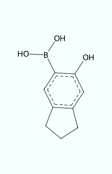 OB(O)c1cc2c(cc1O)CCC2